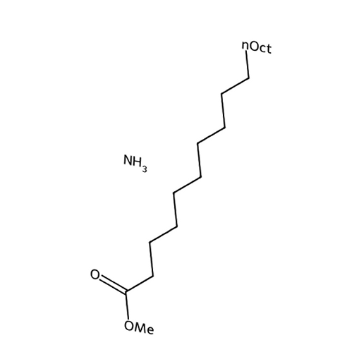 CCCCCCCCCCCCCCCCCC(=O)OC.N